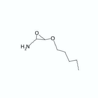 CCCCCOC1OC1N